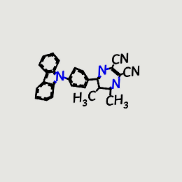 CC1=NC(C#N)=C(C#N)N=C(c2ccc(-n3c4ccccc4c4ccccc43)cc2)C1C